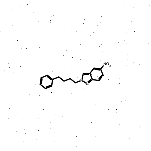 O=[N+]([O-])c1ccc2nn(CCCCc3ccccc3)cc2c1